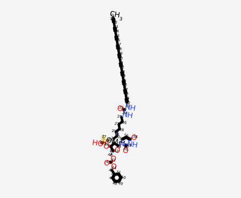 CC#CC#CC#CC#CC#CC#CC#CC#CC#CC#CNC(=O)NCCCC/C=C/C[C@H]1C(OP(O)(=S)OC)[C@@H](COC(=O)OCc2ccccc2)O[C@H]1n1ccc(=O)[nH]c1=O